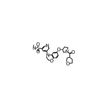 CN(C)S(=O)(=O)c1cncc(N2CCOc3ccc(O[C@H]4CCN(C(=O)C5CCOCC5)C4)cc32)c1